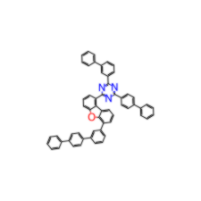 c1ccc(-c2ccc(-c3cccc(-c4cccc5c4oc4cccc(-c6nc(-c7ccc(-c8ccccc8)cc7)nc(-c7cccc(-c8ccccc8)c7)n6)c45)c3)cc2)cc1